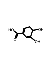 O=C(O)C1=CCC(O)C(O)=C1